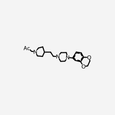 CC(=O)CN1CCC(CCN2CCN(c3ccc4c(c3)OCCO4)CC2)CC1